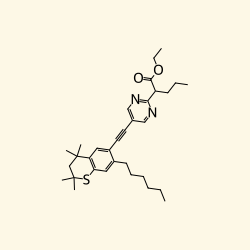 CCCCCCc1cc2c(cc1C#Cc1cnc(C(CCC)C(=O)OCC)nc1)C(C)(C)CC(C)(C)S2